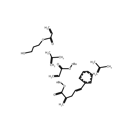 C=C(C)C.C=C(C)C.C=C(CC=Cc1ccccc1)C(=O)OCCCC.C=CC(=O)OCCCC.C=CC(=O)OCCCO